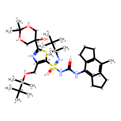 Cc1c2c(c(NC(=O)NS(=O)(=N[Si](C)(C)C(C)(C)C)c3sc(C4(O)COC(C)(C)OC4)nc3CO[Si](C)(C)C(C)(C)C)c3c1CCC3)CCC2